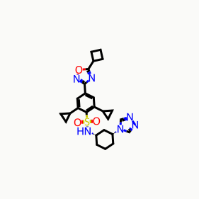 O=S(=O)(N[C@H]1CCC[C@@H](n2cnnc2)C1)c1c(C2CC2)cc(-c2noc(C3CCC3)n2)cc1C1CC1